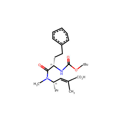 CC(=C[C@H](C(C)C)N(C)C(=O)[C@H](CCc1ccccc1)NC(=O)OC(C)(C)C)C(=O)O